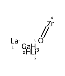 [GaH3].[La].[LiH].[O]=[Zr]